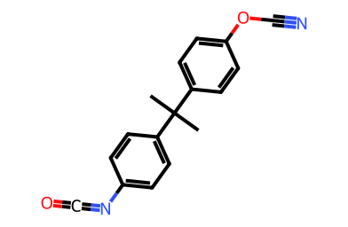 CC(C)(c1ccc(N=C=O)cc1)c1ccc(OC#N)cc1